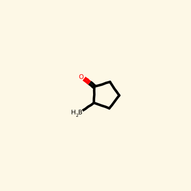 BC1CCCC1=O